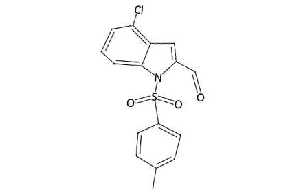 Cc1ccc(S(=O)(=O)n2c(C=O)cc3c(Cl)cccc32)cc1